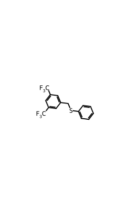 FC(F)(F)c1cc(CSc2ccccc2)cc(C(F)(F)F)c1